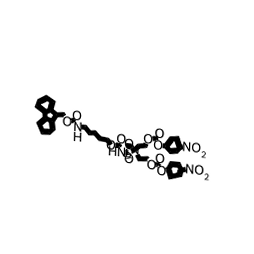 O=C(NCCCCCOC(=O)NS(=O)(=O)N(CCOC(=O)Oc1ccc([N+](=O)[O-])cc1)CCOC(=O)Oc1ccc([N+](=O)[O-])cc1)OCC1c2ccccc2-c2ccccc21